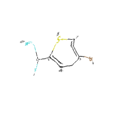 FC(F)c1cc(Br)cs1